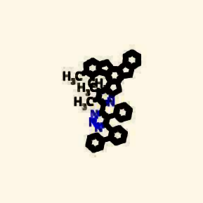 Cc1ccc2c(c1C)=c1c(c3c(c4c1-c1c(nc(-c5nnnc(-c6ccccc6-c6ccccc6)c5-c5ccccc5)c(C)c1C)C4)=Cc1ccccc1-3)C=2